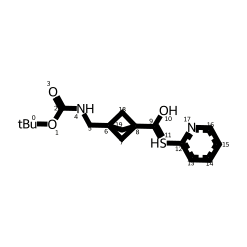 CC(C)(C)OC(=O)NCC12CC(C(O)=[SH]c3ccccn3)(C1)C2